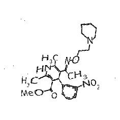 COC(=O)C1=C(C)NC(C)=C(C(C)=NOCCN2CCCCC2)C1c1cccc([N+](=O)[O-])c1